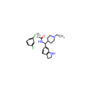 CCN1CCC(C(NC(C)=O)c2ccc3c(c2)NCC3)CC1.Fc1cccc(F)c1